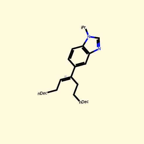 CCCCCCCCCCC/C=C(\CCCCCCCCCCCC)c1ccc2c(c1)ncn2C(C)C